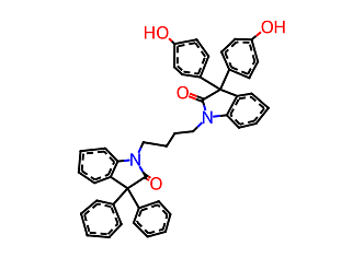 O=C1N(CCCCN2C(=O)C(c3ccc(O)cc3)(c3ccc(O)cc3)c3ccccc32)c2ccccc2C1(c1ccccc1)c1ccccc1